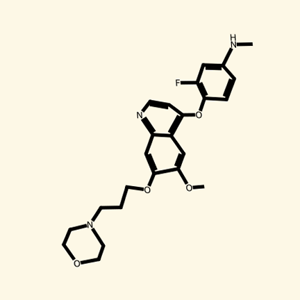 CNc1ccc(Oc2ccnc3cc(OCCCN4CCOCC4)c(OC)cc23)c(F)c1